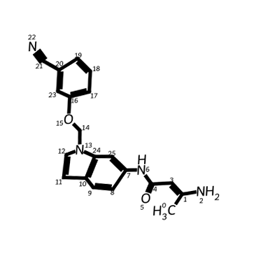 C/C(N)=C\C(=O)Nc1ccc2ccn(COc3cccc(C#N)c3)c2c1